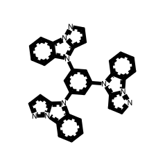 c1ccc2c(c1)n(-c1cc(-n3c4ccccc4n4nccc34)cc(-n3c4ccccc4n4nccc34)c1)c1ccnn21